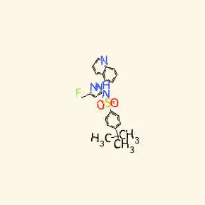 CC(C)(C)c1ccc(S(=O)(=O)Nc2cc(CF)nn2-c2cccc3ncccc23)cc1